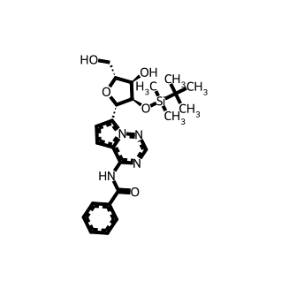 CC(C)(C)[Si](C)(C)O[C@@H]1[C@H](O)[C@@H](CO)O[C@H]1c1ccc2c(NC(=O)c3ccccc3)ncnn12